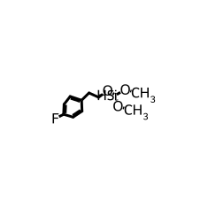 CO[SiH](OC)OCCc1ccc(F)cc1